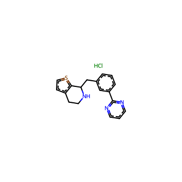 Cl.c1cnc(-c2cccc(CC3NCCc4ccsc43)c2)nc1